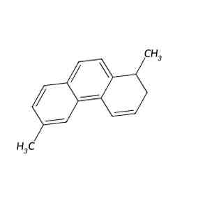 Cc1ccc2ccc3c(c2c1)C=CCC3C